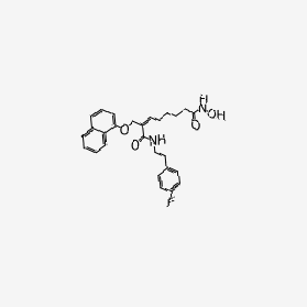 O=C(CCCCC=C(COc1cccc2ccccc12)C(=O)NCCc1ccc(F)cc1)NO